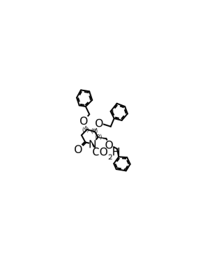 O=C(O)N1C(=O)C[C@H](OCc2ccccc2)[C@H](OCc2ccccc2)[C@H]1COCc1ccccc1